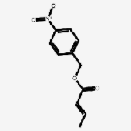 CC=CC(=O)OCc1ccc([N+](=O)[O-])cc1